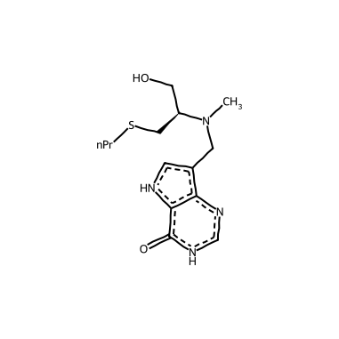 CCCSC[C@@H](CO)N(C)Cc1c[nH]c2c(=O)[nH]cnc12